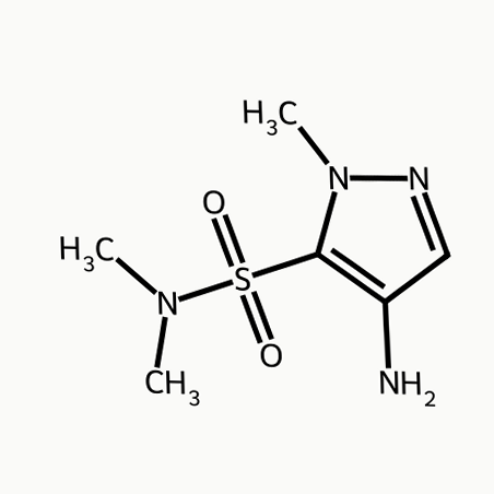 CN(C)S(=O)(=O)c1c(N)cnn1C